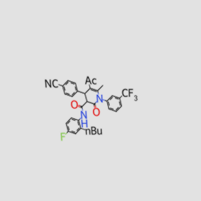 CCCCc1cc(F)ccc1NC(=O)C1C(=O)N(c2cccc(C(F)(F)F)c2)C(C)=C(C(C)=O)C1c1ccc(C#N)cc1